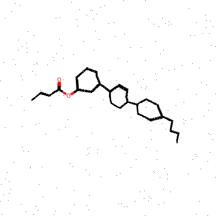 CCCCC1CCC(C2CCC(C3CCCC(OC(=O)CCC)C3)CC2)CC1